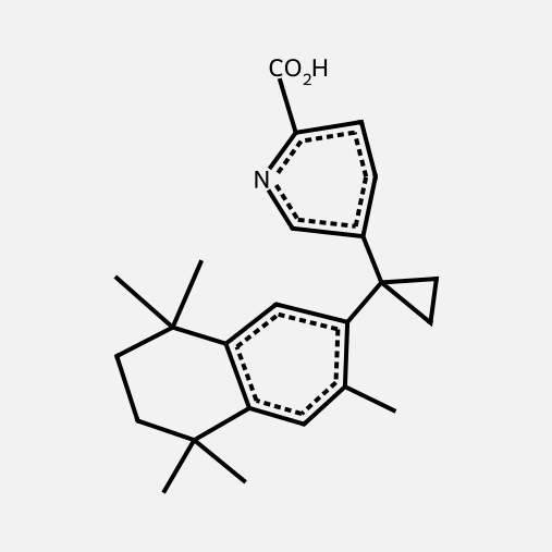 Cc1cc2c(cc1C1(c3ccc(C(=O)O)nc3)CC1)C(C)(C)CCC2(C)C